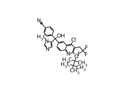 Cn1cncc1C(O)(c1ccc(C#N)cc1)c1ccc2nc(OC(C)(C)C(C)(C)C)c(CC(F)(F)F)c(Cl)c2c1